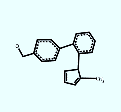 CC1=CC=CC1c1ccccc1-c1ccc(C[O])cc1